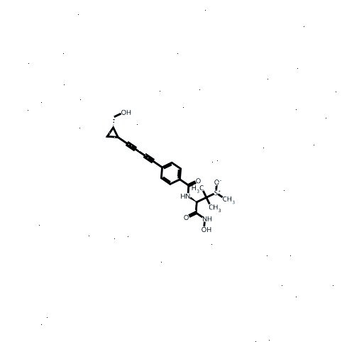 C[S+]([O-])C(C)(C)[C@H](NC(=O)c1ccc(C#CC#CC2C[C@@H]2CO)cc1)C(=O)NO